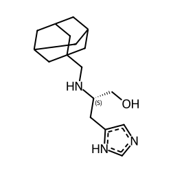 OC[C@H](Cc1cnc[nH]1)NCC12CC3CC(CC(C3)C1)C2